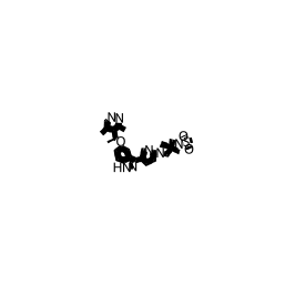 Cc1cnnc(C)c1[C@H](C)Oc1ccc2[nH]nc(-c3ccc(N4CC5(C4)CN(S(C)(=O)=O)C5)nc3)c2c1